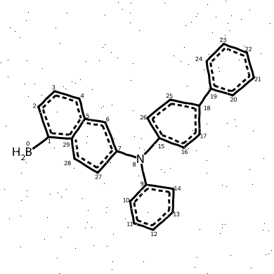 Bc1cccc2cc(N(c3ccccc3)c3ccc(-c4ccccc4)cc3)ccc12